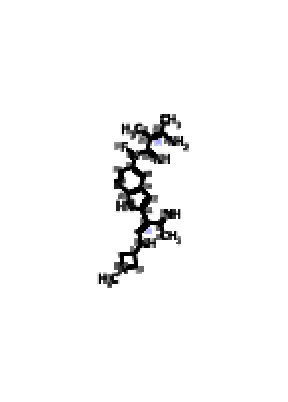 CC(=N)/C(=C\NC1CN(C)C1)c1cc2cc(N(F)C(=N)/C(C)=C(/C)N)cnc2[nH]1